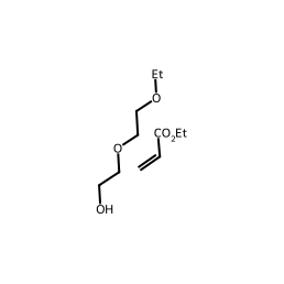 C=CC(=O)OCC.CCOCCOCCO